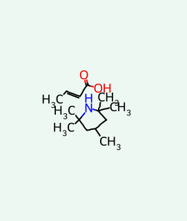 C/C=C/C(=O)O.CC1CC(C)(C)NC(C)(C)C1